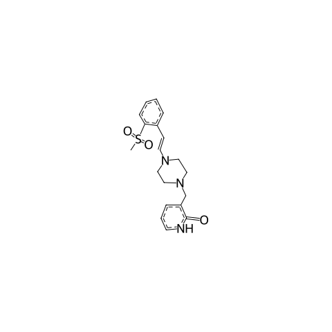 CS(=O)(=O)c1ccccc1C=CN1CCN(Cc2ccc[nH]c2=O)CC1